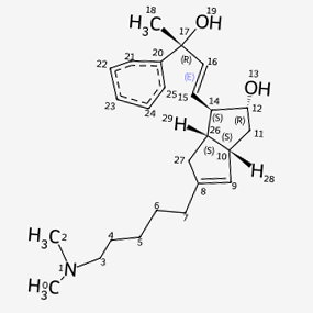 CN(C)CCCCCC1=C[C@H]2C[C@@H](O)[C@H](/C=C/[C@@](C)(O)c3ccccc3)[C@H]2C1